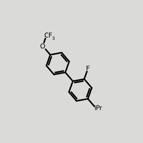 CC(C)c1ccc(-c2ccc(OC(F)(F)F)cc2)c(F)c1